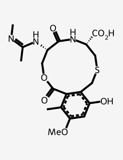 C/N=C(/C)N[C@H]1COC(=O)c2c(C)c(OC)cc(O)c2CSC[C@@H](C(=O)O)NC1=O